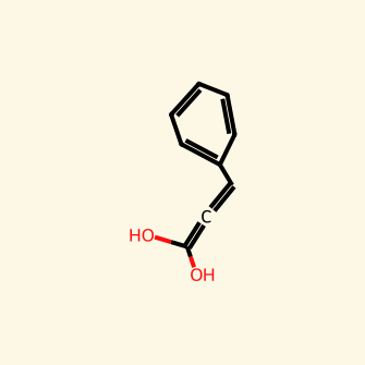 OC(O)=C=Cc1ccccc1